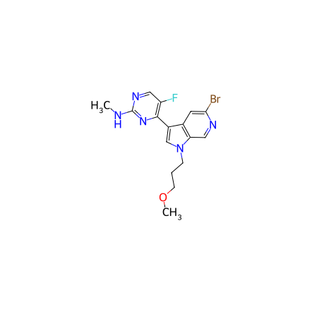 CNc1ncc(F)c(-c2cn(CCCOC)c3cnc(Br)cc23)n1